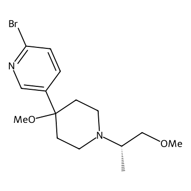 COC[C@H](C)N1CCC(OC)(c2ccc(Br)nc2)CC1